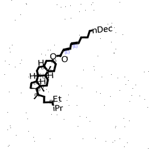 CCCCCCCCCCCCC/C=C/C=C/C(=O)O[C@H]1CC[C@@]2(C)[C@@H](CC[C@@H]3[C@@H]2CC[C@]2(C)[C@@H]([C@H](C)CC[C@@H](CC)C(C)C)CC[C@@H]32)C1